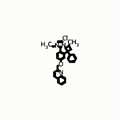 CCn1cc(Cl)nc1-c1ccc(OCc2ccc3ccccc3n2)cc1C1(c2ccccc2)CC(C)C1